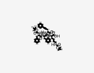 CC(C)(C)OC(=O)NCCCC[C@@H](NC(=O)[C@@H](CC#Cc1ccccc1)NC(=O)[C@@H](Cc1ccccc1)NC(=O)[C@@H](Cc1ccccc1)NC(=O)OC(C)(C)C)C(=O)O